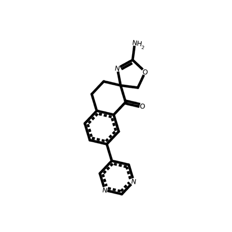 NC1=NC2(CCc3ccc(-c4cncnc4)cc3C2=O)CO1